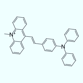 C[n+]1c2ccccc2c(/C=C/c2ccc(N(c3ccccc3)c3ccccc3)cc2)c2ccccc21